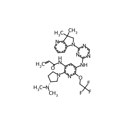 C=CC(=O)Nc1cc(Nc2ncnc(N3CC(C)(C)c4ncccc43)n2)c(OCC(F)(F)F)nc1N1CC[C@@H](N(C)C)C1